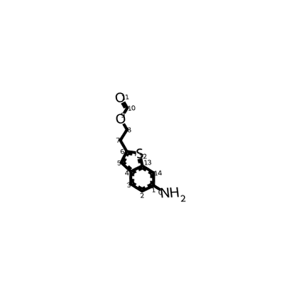 Nc1ccc2cc(CCOC=O)sc2c1